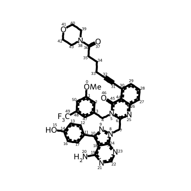 COc1cc(Cn2c(Cn3nc(-c4ccc(O)cc4)c4c(N)ncnc43)nc3cccc(C#CCCCC(=O)N4CCOCC4)c3c2=O)cc(C(F)(F)F)c1